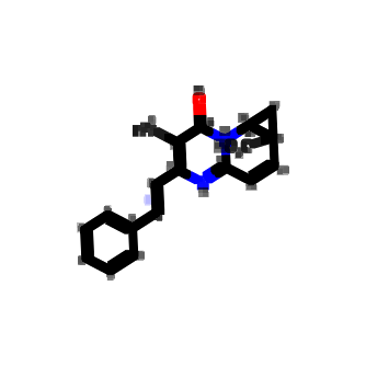 CCCc1c(/C=C/c2ccccc2)nc2n(c1=O)C1CC1(C(=O)O)C=C2